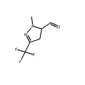 CN1N=C(C(F)(F)F)CC1C=O